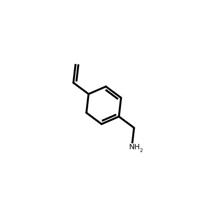 C=CC1C=CC(CN)=CC1